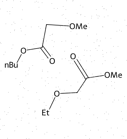 CCCCOC(=O)COC.CCOCC(=O)OC